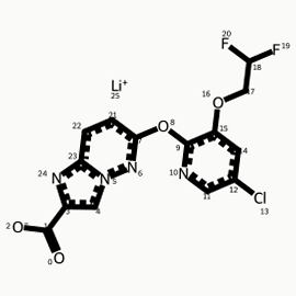 O=C([O-])c1cn2nc(Oc3ncc(Cl)cc3OCC(F)F)ccc2n1.[Li+]